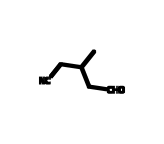 CC(CC#N)CC=O